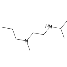 CCCN(C)CCNC(C)C